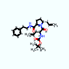 C=CC[C@H]1CCC(C(=O)NCCc2ccccc2)N1C(=O)[C@H](CC=C)NC(=O)OC(C)(C)C